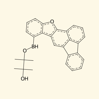 CC(C)(O)C(C)(C)OBc1cccc2oc3c4cccc5c4c(cc3c12)-c1ccccc1-5